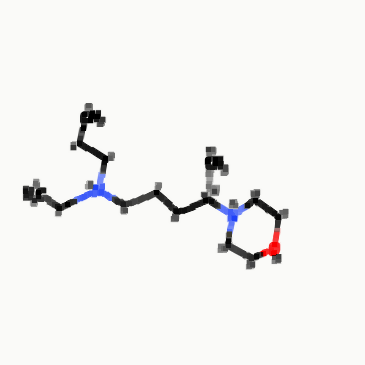 CCCN(CC)CCC[C@H](C)N1CCOCC1